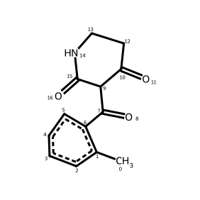 Cc1ccccc1C(=O)C1C(=O)CCNC1=O